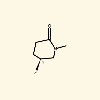 CN1C[C@@H](F)CCC1=O